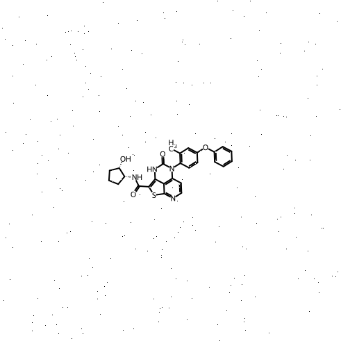 Cc1cc(Oc2ccccc2)ccc1N1C(=O)Nc2c(C(=O)N[C@@H]3CCC[C@@H]3O)sc3nccc1c23